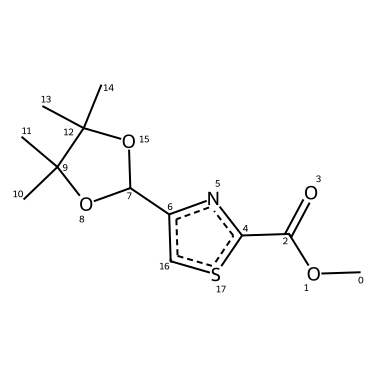 COC(=O)c1nc(C2OC(C)(C)C(C)(C)O2)cs1